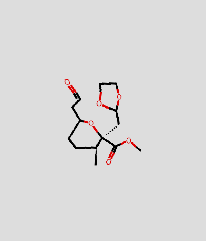 COC(=O)[C@]1(CC2OCCO2)OC(CC=O)CC[C@@H]1C